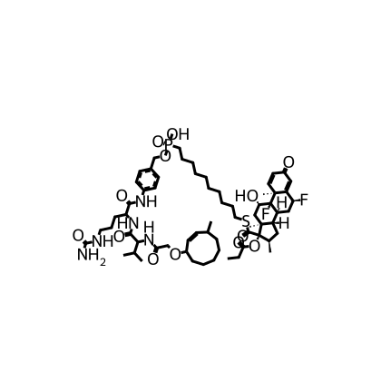 CCC(=O)O[C@]1(C(=O)SCCCCCCCCCCP(=O)(O)OCc2ccc(NC(=O)C(CCCNC(N)=O)NC(=O)C(NC(=O)COC3/C=C\C(C)CCCCC3)C(C)C)cc2)[C@H](C)C[C@H]2[C@@H]3C[C@H](F)C4=CC(=O)C=C[C@]4(C)[C@@]3(F)[C@@H](O)C[C@@]21C